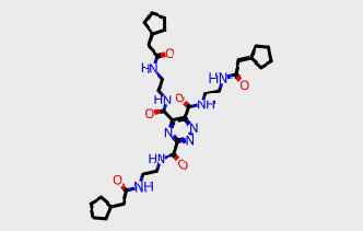 O=C(CC1CCCC1)NCCNC(=O)c1nnc(C(=O)NCCNC(=O)CC2CCCC2)c(C(=O)NCCNC(=O)CC2CCCC2)n1